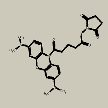 CN(C)c1ccc2c(c1)Sc1cc(N(C)C)ccc1N2C(=O)CCCC(=O)ON1C(=O)CCC1=O